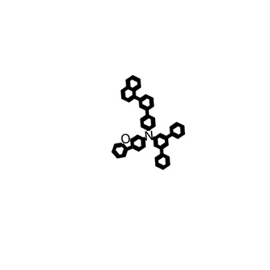 c1ccc(-c2cc(-c3ccccc3)cc(N(c3ccc(-c4cccc(-c5cccc6ccccc56)c4)cc3)c3ccc4c(c3)oc3ccccc34)c2)cc1